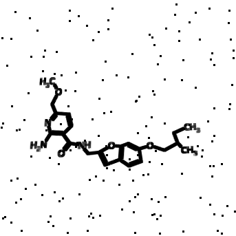 CCC(C)COc1ccc2cc(CNC(=O)c3ccc(COC)nc3N)oc2c1